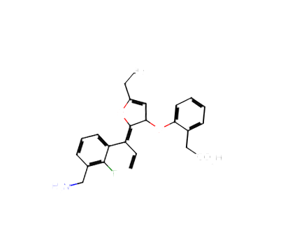 C=C/C(=C1/OC(CC(C)C)=CC1Oc1ccccc1CC(=O)O)c1cccc(CN)c1F